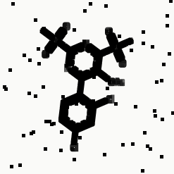 CC(=O)Oc1c(-c2ccc(Cl)cc2Cl)nc(S(C)(=O)=O)nc1S(C)(=O)=O